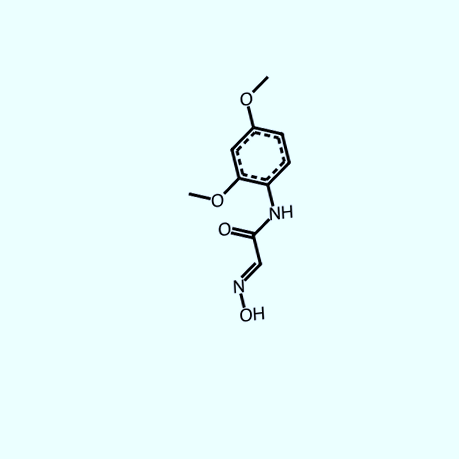 COc1ccc(NC(=O)C=NO)c(OC)c1